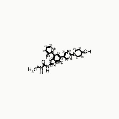 CCNC(=O)Nc1nc2c(F)c(-c3cnc(N4CCC(O)CC4)nc3)cc(-c3ncccc3F)c2s1